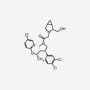 C[C@@H](Oc1ccc(Cl)cn1)[C@@H]1CN(C(=O)CN2CC3CC3C2CO)C[C@H]1c1ccc(Cl)c(Cl)c1